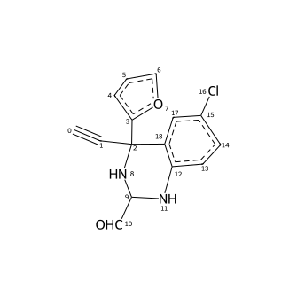 C#CC1(c2ccco2)NC(C=O)Nc2ccc(Cl)cc21